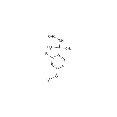 CC(C)(NC=O)c1ccc(OC(F)(F)F)cc1F